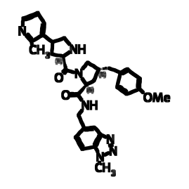 COc1ccc(C[C@@H]2C[C@@H](C(=O)NCc3ccc4c(c3)nnn4C)N(C(=O)[C@H]3CC(c4cccnc4C)CN3)C2)cc1